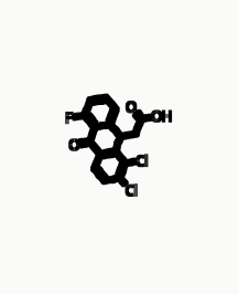 O=C(O)CC1c2cccc(F)c2C(=O)c2ccc(Cl)c(Cl)c21